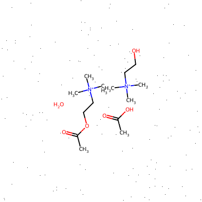 CC(=O)O.CC(=O)OCC[N+](C)(C)C.C[N+](C)(C)CCO.O